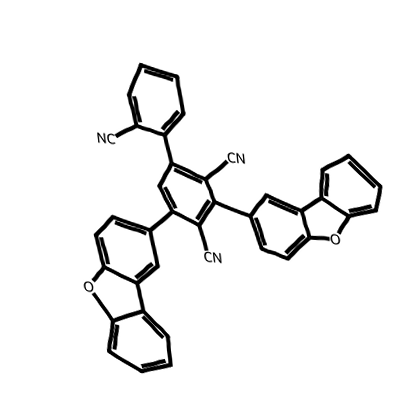 N#Cc1ccccc1-c1cc(-c2ccc3oc4ccccc4c3c2)c(C#N)c(-c2ccc3oc4ccccc4c3c2)c1C#N